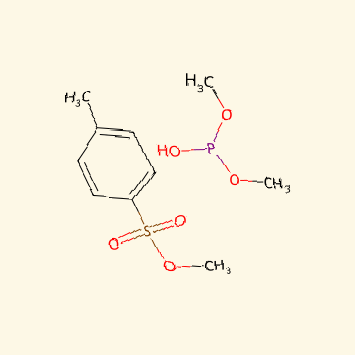 COP(O)OC.COS(=O)(=O)c1ccc(C)cc1